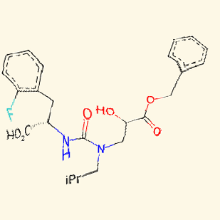 CC(C)CN(CC(O)C(=O)OCc1ccccc1)C(=O)N[C@@H](Cc1ccccc1F)C(=O)O